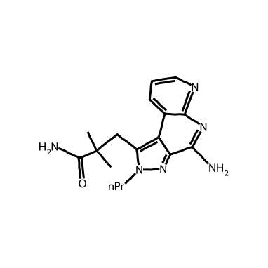 CCCn1nc2c(N)nc3ncccc3c2c1CC(C)(C)C(N)=O